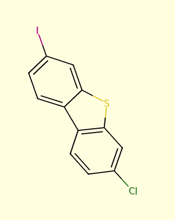 Clc1ccc2c(c1)sc1cc(I)ccc12